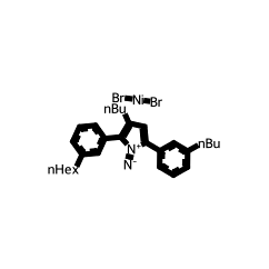 CCCCCCc1cccc(C2=C(CCCC)C=C(c3cccc(CCCC)c3)[N+]2=[N-])c1.[Br][Ni][Br]